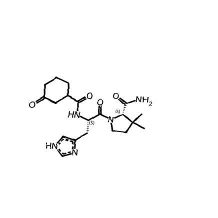 CC1(C)CCN(C(=O)[C@H](Cc2c[nH]cn2)NC(=O)C2CCCC(=O)C2)[C@@H]1C(N)=O